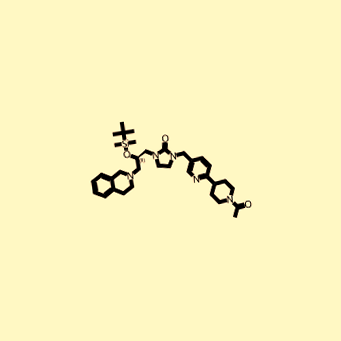 CC(=O)N1CCC(c2ccc(CN3CCN(C[C@@H](CN4CCc5ccccc5C4)O[Si](C)(C)C(C)(C)C)C3=O)cn2)CC1